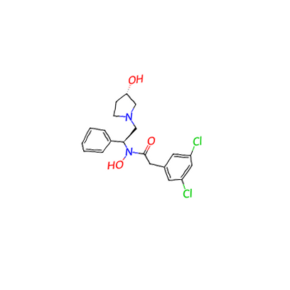 O=C(Cc1cc(Cl)cc(Cl)c1)N(O)[C@H](CN1CC[C@H](O)C1)c1ccccc1